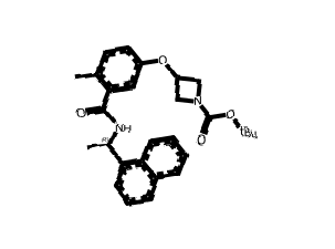 Cc1ccc(OC2CN(C(=O)OC(C)(C)C)C2)cc1C(=O)N[C@H](C)c1cccc2ccccc12